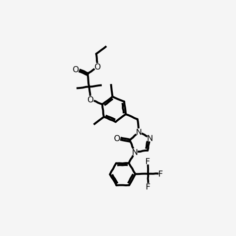 CCOC(=O)C(C)(C)Oc1c(C)cc(Cn2ncn(-c3ccccc3C(F)(F)F)c2=O)cc1C